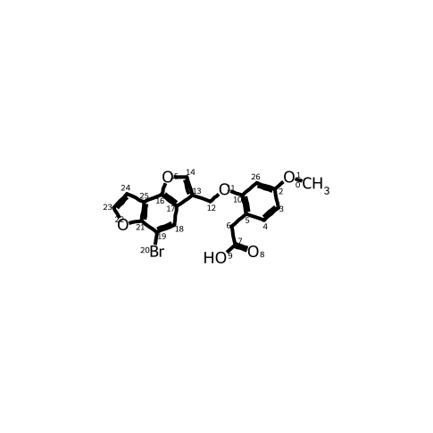 COc1ccc(CC(=O)O)c(OCc2coc3c2cc(Br)c2occc23)c1